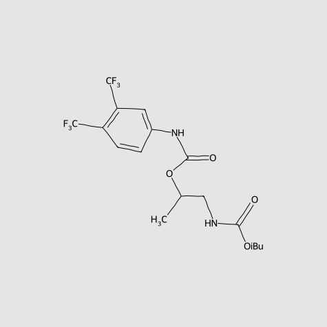 CC(C)COC(=O)NCC(C)OC(=O)Nc1ccc(C(F)(F)F)c(C(F)(F)F)c1